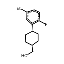 CCc1ccc(F)c([C@H]2CC[C@H](CO)CC2)c1